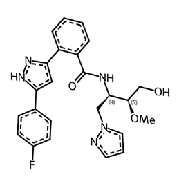 CO[C@H](CO)[C@@H](Cn1cccn1)NC(=O)c1ccccc1-c1cc(-c2ccc(F)cc2)[nH]n1